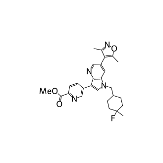 COC(=O)c1ccc(-c2cn(CC3CCC(C)(F)CC3)c3cc(-c4c(C)noc4C)cnc23)cn1